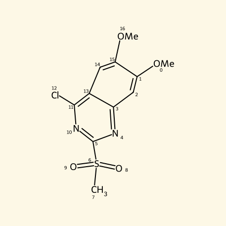 COc1cc2nc(S(C)(=O)=O)nc(Cl)c2cc1OC